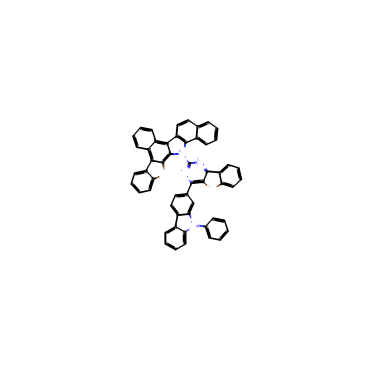 c1ccc(-n2c3ccccc3c3ccc(-c4nc(-n5c6c7ccccc7ccc6c6c7ccccc7c7c8ccccc8sc7c65)nc5c4sc4ccccc45)cc32)cc1